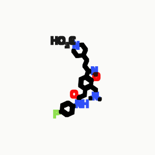 CN(C)Cc1c(CC(=O)Nc2ccc(F)cc2)ccc2c(CCC3CCN(C(=O)O)CC3)noc12